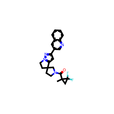 CC1(C(=O)N2CCC3(CCn4nc(-c5cnc6ccccc6c5)cc43)C2)CC1(F)F